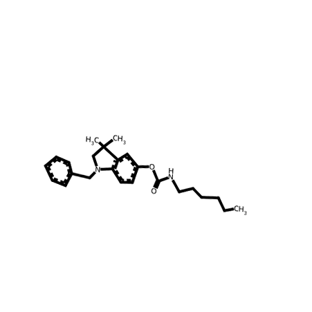 CCCCCCNC(=O)Oc1ccc2c(c1)C(C)(C)CN2Cc1ccccc1